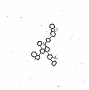 CC1(C)c2ccccc2-c2ccc(-c3ccc(N(c4ccc(-c5ccc6oc7ccccc7c6c5)cc4)c4ccccc4-c4cccc(-c5cccc6ccccc56)c4)cc3)cc21